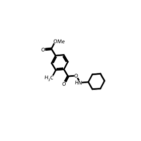 COC(=O)c1ccc(C(=O)ONC2CCCCC2)c(C)c1